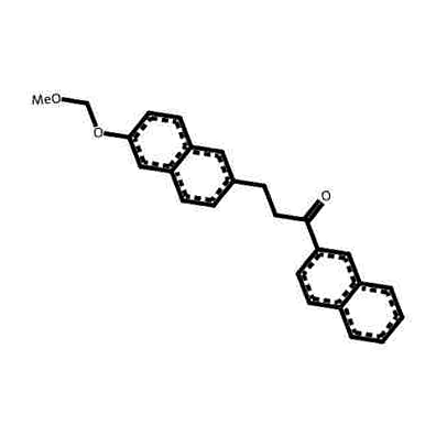 COCOc1ccc2cc(CCC(=O)c3ccc4ccccc4c3)ccc2c1